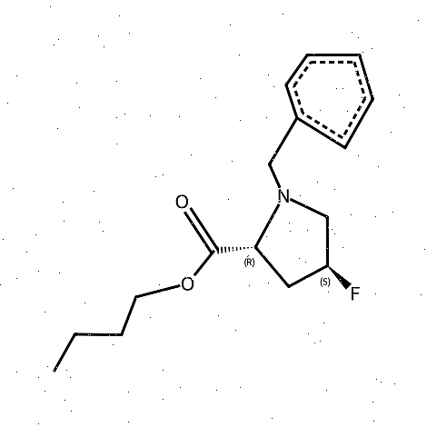 CCCCOC(=O)[C@H]1C[C@H](F)CN1Cc1ccccc1